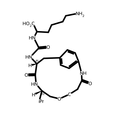 CC(C)[C@H]1COCCC(=O)Nc2ccc(cc2)C[C@@H](NC(=O)NC(CCCCN)C(=O)O)C(=O)N1